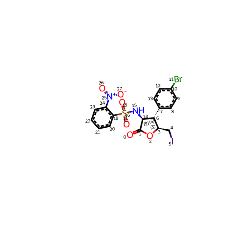 O=C1O[C@H](CI)[C@@H](c2ccc(Br)cc2)[C@@H]1NS(=O)(=O)c1ccccc1[N+](=O)[O-]